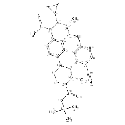 CC(=O)N1c2ccc(N3CCN(C(=O)OC(C)(C)C)[C@@H](C)C3)cc2C(Nc2ccc(C#N)cn2)[C@@H](C)C1C1CC1